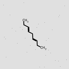 CCC=CCC=CCC